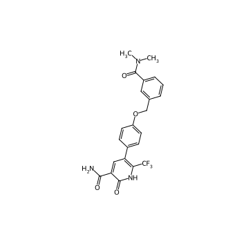 CN(C)C(=O)c1cccc(COc2ccc(-c3cc(C(N)=O)c(=O)[nH]c3C(F)(F)F)cc2)c1